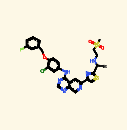 CCC(NCCS(C)(=O)=O)c1nc(-c2cc3c(Nc4ccc(OCc5cccc(F)c5)c(Cl)c4)ncnc3cn2)cs1